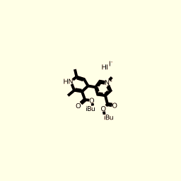 CCC(C)OC(=O)C1=C(C)NC(C)=CC1c1cc(C(=O)OC(C)CC)c[n+](C)c1.I.[I-]